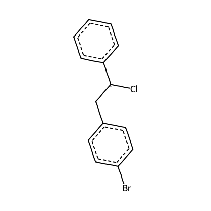 Cl[C](Cc1ccc(Br)cc1)c1ccccc1